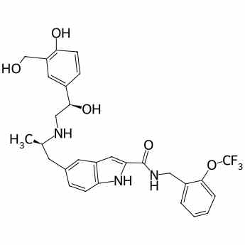 C[C@H](Cc1ccc2[nH]c(C(=O)NCc3ccccc3OC(F)(F)F)cc2c1)NC[C@H](O)c1ccc(O)c(CO)c1